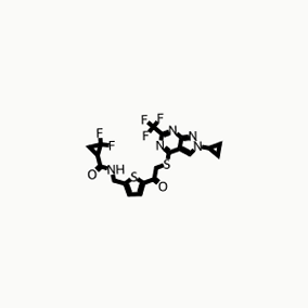 O=C(CSc1nc(C(F)(F)F)nc2nn(C3CC3)cc12)c1ccc(CNC(=O)C2CC2(F)F)s1